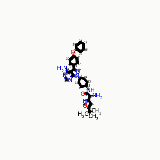 CC(C)(C)c1cc([C@H](N)C(=O)NC2CCC(n3nc(-c4ccc(Oc5ccccc5)cc4)c4c(N)ncnc43)CC2)no1